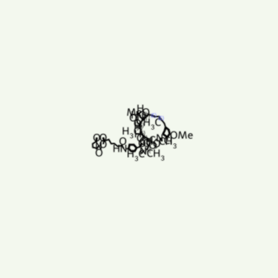 COc1cc2cc(c1Cl)N(C)C(=O)C[C@H](OC(=O)[C@H](C)N(C)C(=O)c1ccc(NC(=O)CCCCC(=O)ON3C(=O)CCC3=O)cc1)[C@]1(C)O[C@H]1[C@H](C)[C@@H]1C[C@@](O)(NC(=O)O1)[C@H](OC)/C=C/C=C(\C)C2